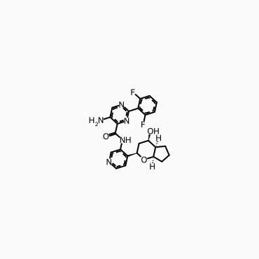 Nc1cnc(-c2c(F)cccc2F)nc1C(=O)Nc1cnccc1[C@H]1C[C@@H](O)[C@H]2CCC[C@H]2O1